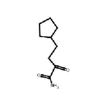 NC(=O)C(=O)CCC1CCCC1